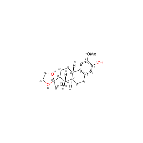 COc1cc2c(cc1O)CC[C@@H]1[C@@H]2CC[C@@]2(C)[C@H]1CCC21OCCO1